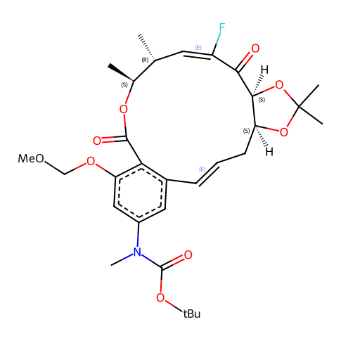 COCOc1cc(N(C)C(=O)OC(C)(C)C)cc2c1C(=O)O[C@@H](C)[C@H](C)/C=C(/F)C(=O)[C@H]1OC(C)(C)O[C@H]1C/C=C/2